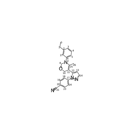 CCc1cccc(N2COCC(c3ccnn3-c3ccc(C#N)cc3)=C2C)c1